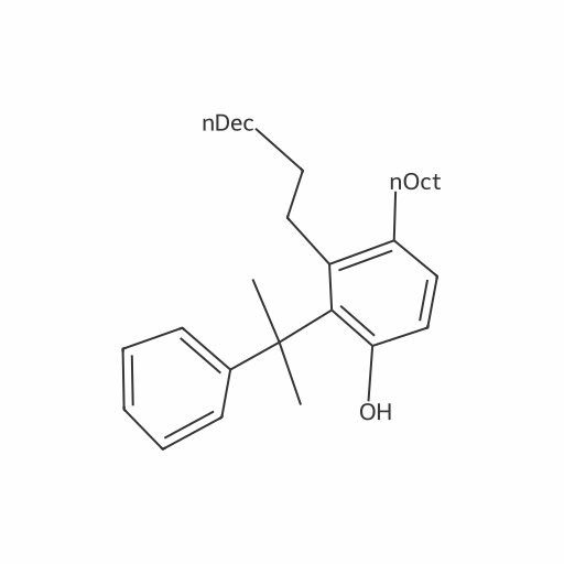 CCCCCCCCCCCCc1c(CCCCCCCC)ccc(O)c1C(C)(C)c1ccccc1